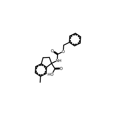 Cc1ccc2c(c1)C(NC(=O)OCc1ccccc1)(C(=O)O)CC2